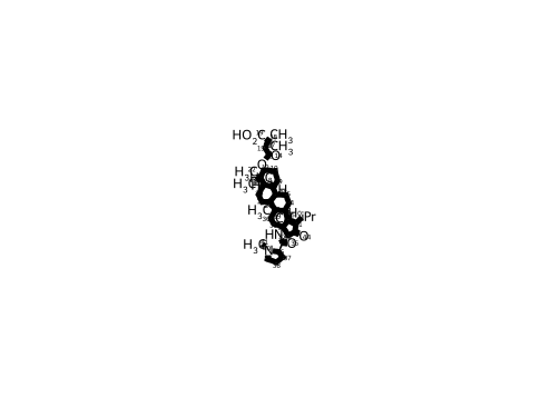 CC(C)C1=C2[C@H]3CC[C@@H]4[C@@]5(C)CC[C@H](OC(=O)CC(C)(C)C(=O)O)C(C)(C)[C@@H]5CC[C@@]4(C)[C@]3(C)CC[C@@]2(NC(=O)[C@H]2CCCN2C)CC1=O